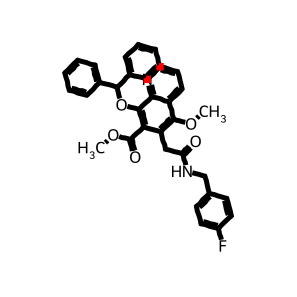 COC(=O)c1c(CC(=O)NCc2ccc(F)cc2)c(OC)c2cccnc2c1OC(c1ccccc1)c1ccccc1